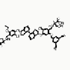 CCOc1cc(O[C@H]2CCc3c(-c4cccc5c4CC[C@@H]5Oc4cc(OCc5cc(C#N)cc(C#N)c5)c(CN[C@@](C)(CO)C(=O)O)cc4Cl)cccc32)c(Cl)cc1CN[C@@](C)(CO)C(=O)O